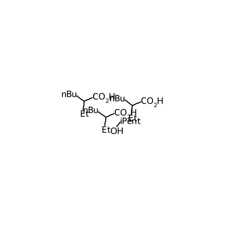 CCCC(C)O.CCCCC(CC)C(=O)O.CCCCC(CC)C(=O)O.CCCCC(CC)C(=O)O